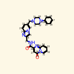 O=C(NCc1cn2cc(CN3CCN(c4ccccc4)CC3)ccc2n1)c1cc(=O)n2ccccc2n1